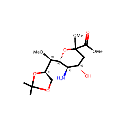 COC(=O)C1(OC)C[C@H](O)[C@@H](N)[C@H]([C@H](OC)[C@H]2COC(C)(C)O2)O1